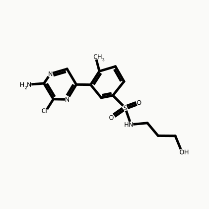 Cc1ccc(S(=O)(=O)NCCCO)cc1-c1cnc(N)c(Cl)n1